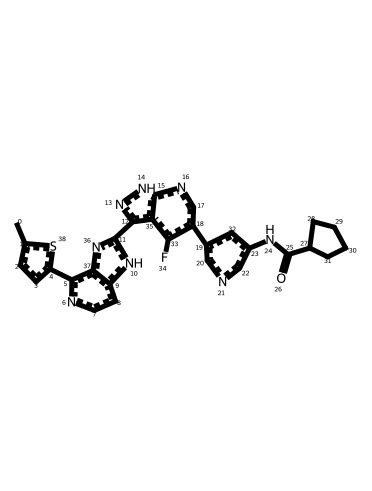 Cc1ccc(-c2nccc3[nH]c(-c4n[nH]c5ncc(-c6cncc(NC(=O)C7CCCC7)c6)c(F)c45)nc23)s1